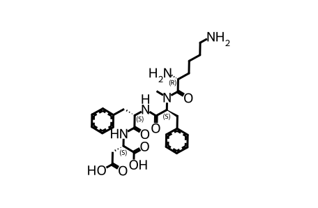 CN(C(=O)[C@H](N)CCCCN)[C@@H](Cc1ccccc1)C(=O)N[C@@H](Cc1ccccc1)C(=O)N[C@@H](CC(=O)O)C(=O)O